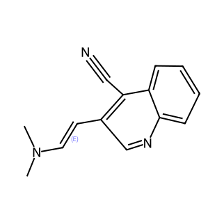 CN(C)/C=C/c1cnc2ccccc2c1C#N